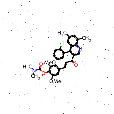 COc1cc(C=CC(=O)c2cnc3c(C)cc(C)cc3c2-c2ccccc2Cl)cc(OC)c1OC(=O)N(C)C